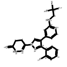 O=C1CCC(n2cc(-c3ccnc(NCC(F)(F)F)c3)c(-c3ccccc3F)n2)=NN1